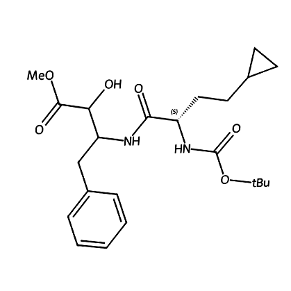 COC(=O)C(O)C(Cc1ccccc1)NC(=O)[C@H](CCC1CC1)NC(=O)OC(C)(C)C